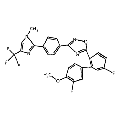 COc1ccc(-c2cc(F)ccc2-c2nc(-c3ccc(-c4nc(C(F)(F)F)cn4C)cc3)no2)cc1F